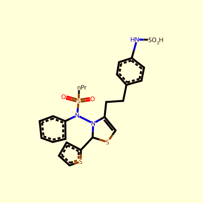 CCCS(=O)(=O)N(c1ccccc1)N1C(CCc2ccc(NS(=O)(=O)O)cc2)=CSC1c1cccs1